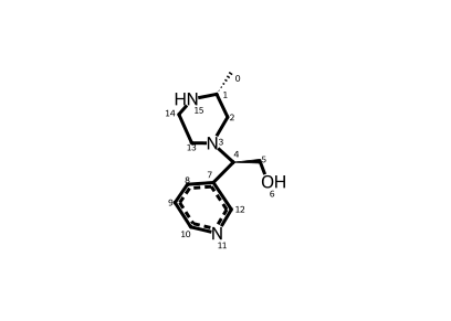 C[C@@H]1CN([C@@H](CO)c2cccnc2)CCN1